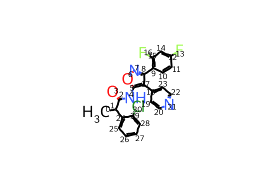 CC(C(=O)Nc1onc(-c2ccc(F)cc2F)c1-c1ccncc1)c1ccccc1Cl